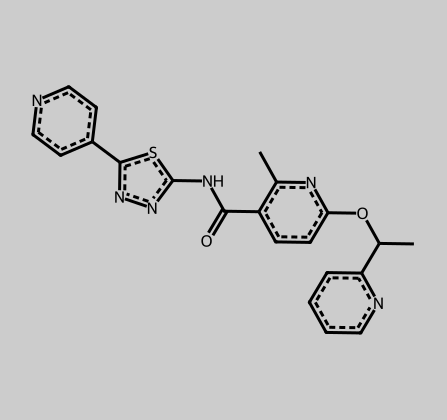 Cc1nc(OC(C)c2ccccn2)ccc1C(=O)Nc1nnc(-c2ccncc2)s1